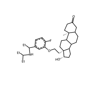 CCC(CC)NC(CC)c1ccc(F)c(OCC[C@]23CCC4C(CCC5CC(=O)CC[C@@]54C)C2CC[C@@H]3O)c1